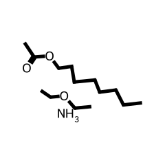 CCCCCCCCOC(C)=O.CCOCC.N